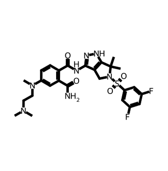 CN(C)CCN(C)c1ccc(C(=O)Nc2n[nH]c3c2CN(S(=O)(=O)c2cc(F)cc(F)c2)C3(C)C)c(C(N)=O)c1